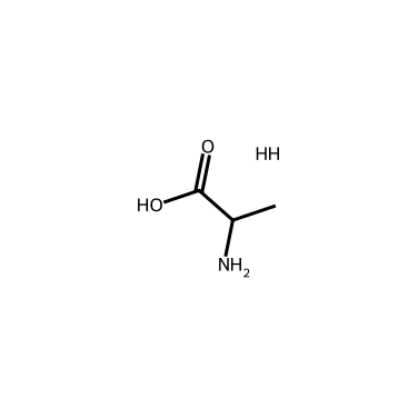 CC(N)C(=O)O.[HH]